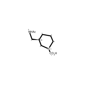 CC(=O)NC[C@H]1CCCN(C(=O)O)C1